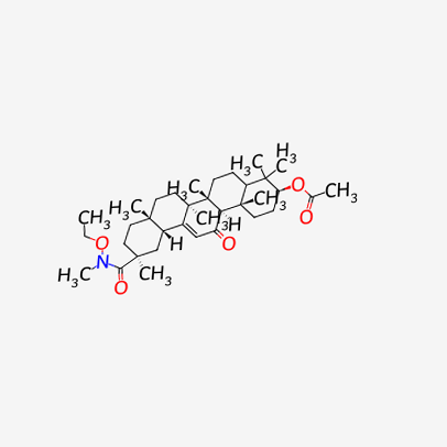 CCON(C)C(=O)[C@@]1(C)CC[C@]2(C)CC[C@]3(C)C(=CC(=O)[C@@H]4[C@@]5(C)CC[C@H](OC(C)=O)C(C)(C)C5CC[C@]43C)[C@@H]2C1